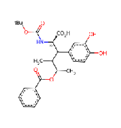 CC(OC(=O)c1ccccc1)C(C)C(c1ccc(O)c(O)c1)[C@@H](NC(=O)OC(C)(C)C)C(=O)O